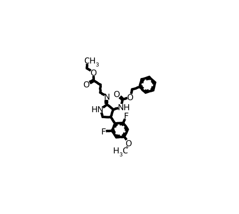 CCOC(=O)CC/N=C1\NCC(c2c(F)cc(OC)cc2F)C1NC(=O)OCc1ccccc1